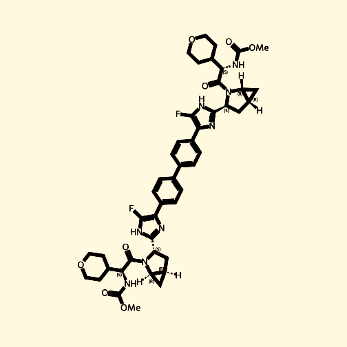 COC(=O)N[C@H](C(=O)N1[C@@H]2C[C@@H]2C[C@H]1c1nc(-c2ccc(-c3ccc(-c4nc([C@@H]5C[C@H]6C[C@H]6N5C(=O)[C@@H](NC(=O)OC)C5CCOCC5)[nH]c4F)cc3)cc2)c(F)[nH]1)C1CCOCC1